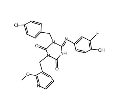 COc1ncccc1Cn1c(=O)[nH]/c(=N\c2ccc(O)c(F)c2)n(Cc2ccc(Cl)cc2)c1=O